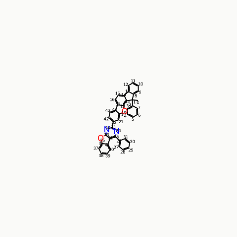 CC1(c2ccccc2)c2ccccc2-c2ccc3c(oc4cc(-c5nc(-c6ccccc6)c6c(n5)oc5ccccc56)ccc43)c21